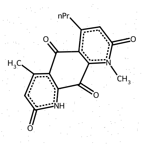 CCCc1cc(=O)n(C)c2c1C(=O)c1c(C)cc(=O)[nH]c1C2=O